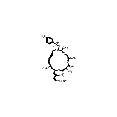 CCCCC/C=C\C(C)=C\C1CC(C)C/C=C/CCC(OS(=O)(=O)c2ccc(C)cc2)C(OC(C)=O)CCC(C)CC(O)C(C)C(=O)O1